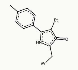 CCc1c(-c2ccc(C)cc2)[nH]n(CC(C)C)c1=O